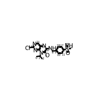 CC(C)n1c(=O)c(NCc2ccc(S(C)(=N)=O)cc2)nc2cnc(Cl)nc21